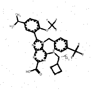 CC(C)c1ccc(OC(F)(F)F)c(-c2nc3nc(C(=O)O)nc(N[C@H](C)C4CCC4)c3n2Cc2ccc(C(F)(F)F)cc2)c1